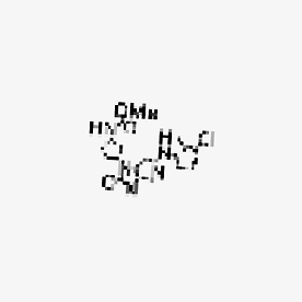 COC(=O)N[C@@H]1CC[C@@H](n2c(=O)n(C)c3cnc(Nc4cccc(Cl)n4)cc32)C1